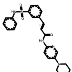 O=C(/C=C/c1cccc(S(=O)(=O)Nc2ccccc2)c1)Nc1ccc(N2CCOCC2)cn1